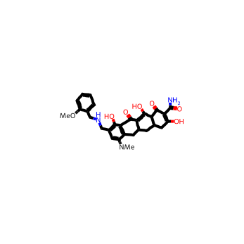 CNc1cc(CNCc2ccccc2OC)c(O)c2c1CC1CC3CC(O)=C(C(N)=O)C(=O)C3C(O)=C1C2=O